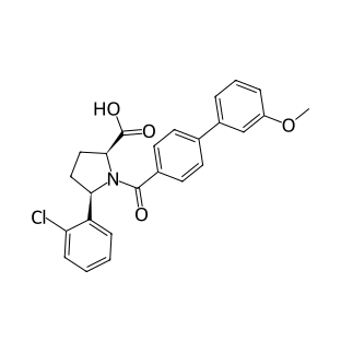 COc1cccc(-c2ccc(C(=O)N3[C@@H](c4ccccc4Cl)CC[C@H]3C(=O)O)cc2)c1